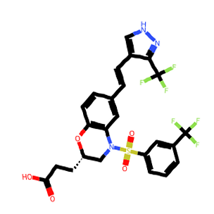 O=C(O)CC[C@H]1CN(S(=O)(=O)c2cccc(C(F)(F)F)c2)c2cc(/C=C/c3c[nH]nc3C(F)(F)F)ccc2O1